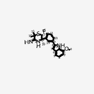 COc1cccc2cc(-c3ccc(F)c([C@]4(C)CSC(C)(C)C(=N)N4)c3)[nH]c12